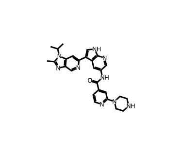 Cc1nc2cnc(-c3c[nH]c4ncc(NC(=O)c5ccnc(N6CCNCC6)c5)cc34)cc2n1C(C)C